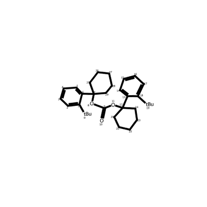 CC(C)(C)c1ccccc1C1(OC(=O)OC2(c3ccccc3C(C)(C)C)CCCCC2)CCCCC1